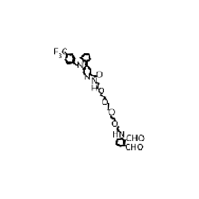 O=Cc1cccc(NCCOCCOCCOCCOCCNC(=O)c2cc3c4ccccc4n(Cc4ccc(C(F)(F)F)cc4)c3cn2)c1C=O